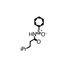 CC(C)CCC(=O)N[S@+]([O-])c1ccccc1